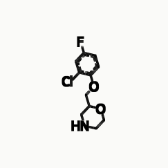 Fc1ccc(OCC2CNCCO2)c(Cl)c1